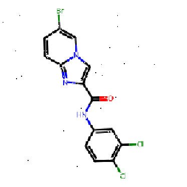 O=C(Nc1ccc(Cl)c(Cl)c1)c1cn2cc(Br)ccc2n1